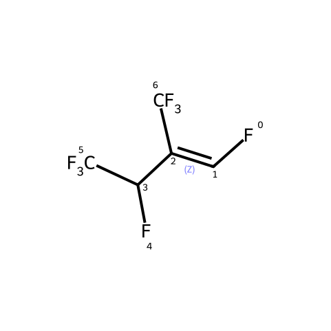 F/C=C(/C(F)C(F)(F)F)C(F)(F)F